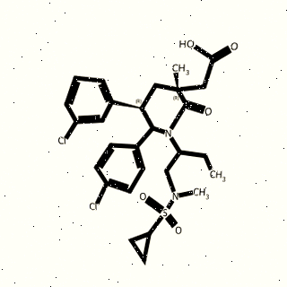 CCC(CN(C)S(=O)(=O)C1CC1)N1C(=O)[C@@](C)(CC(=O)O)C[C@H](c2cccc(Cl)c2)C1c1ccc(Cl)cc1